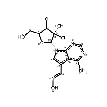 C[C@@]1(Cl)C(O)C(CO)O[C@H]1n1cc(C=NO)c2c(N)ncnc21